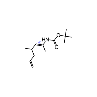 C=CCC(C)/C=C(\C)NC(=O)OC(C)(C)C